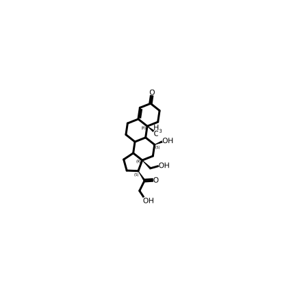 C[C@]12CCC(=O)C=C1CCC1C3CC[C@H](C(=O)CO)[C@@]3(CO)C[C@H](O)C12